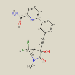 CN1C(=O)C(O)(C#Cc2cccc(-c3cccc(C(N)=O)n3)c2)C2C1C2(F)F